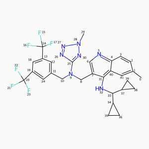 Cc1ccc2ncc(CN(Cc3cc(C(F)(F)F)cc(C(F)(F)F)c3)c3nnn(C)n3)c(NC(C3CC3)C3CC3)c2c1